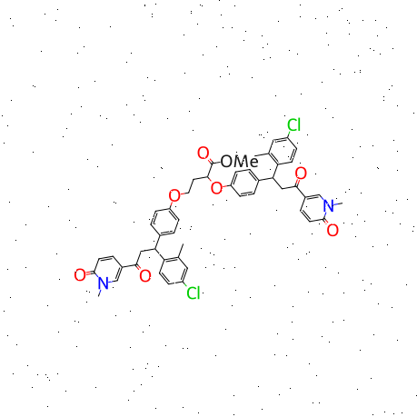 COC(=O)C(CCOc1ccc(C(CC(=O)c2ccc(=O)n(C)c2)c2ccc(Cl)cc2C)cc1)Oc1ccc(C(CC(=O)c2ccc(=O)n(C)c2)c2ccc(Cl)cc2C)cc1